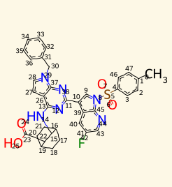 Cc1ccc(S(=O)(=O)n2cc(-c3nc(NC4C5CCC(CC5)C4C(=O)O)c4ccn(Cc5ccccc5)c4n3)c3cc(F)cnc32)cc1